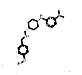 CC(C)Oc1ccc(CNC[C@H]2CC[C@@H](Nc3nccc(N(C)C)n3)CC2)cc1